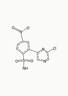 [NH]S(=O)(=O)c1ccc([N+](=O)[O-])cc1-c1cncc(Cl)n1